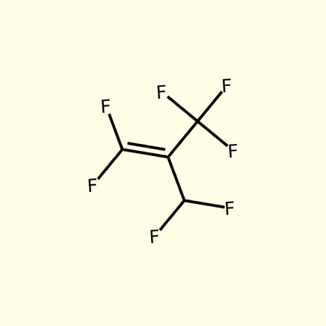 FC(F)=C(C(F)F)C(F)(F)F